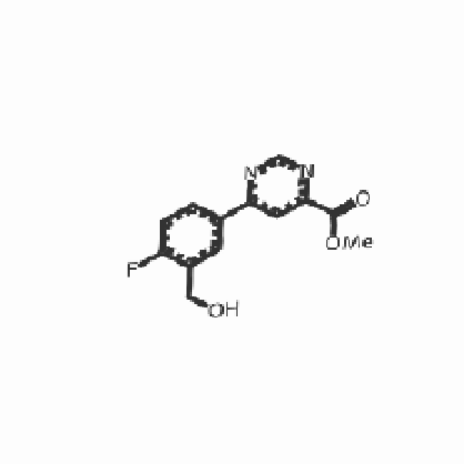 COC(=O)c1cc(-c2ccc(F)c(CO)c2)ncn1